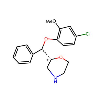 COc1cc(Cl)ccc1OC(c1ccccc1)[C@H]1CNCCO1